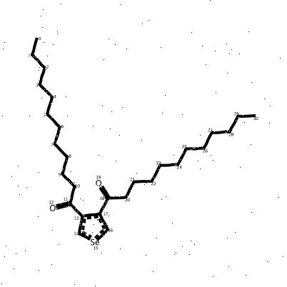 CCCCCCCCCCCC(=O)c1c[se]cc1C(=O)CCCCCCCCCCC